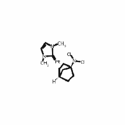 ClN(Cl)[C@]12CC[C@@H](CC1)C2.Cn1ccn(C)[c]1=[Pt]